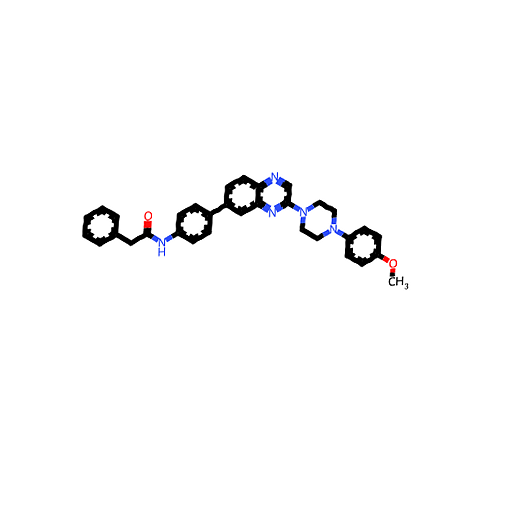 COc1ccc(N2CCN(c3cnc4ccc(-c5ccc(NC(=O)Cc6ccccc6)cc5)cc4n3)CC2)cc1